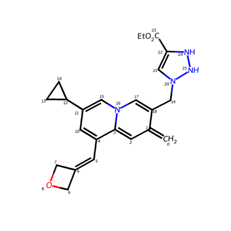 C=C1C=C2C(C=C3COC3)=CC(C3CC3)=CN2C=C1CN1C=C(C(=O)OCC)NN1